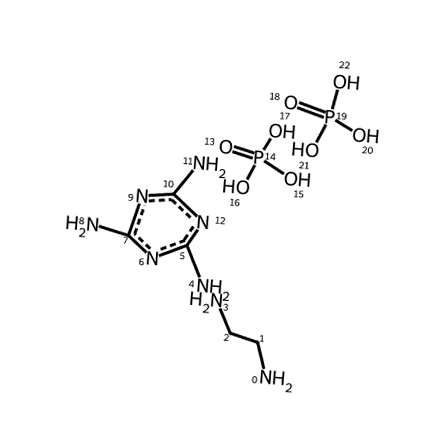 NCCN.Nc1nc(N)nc(N)n1.O=P(O)(O)O.O=P(O)(O)O